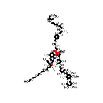 CC#C/C=C\C#C[C@H](OC1OC(C)C(NOC2CC(O)C(SC(=O)c3c(C)c(I)c(OC4OC(C)C(O)C(OC)C4O)c(OC)c3OC)C(C)O2)C(O)C1OC1CC(OC)C(N(CC)C(=O)CNC(=O)OCc2ccc(NC(=O)[C@H](C)NC(=O)[C@@H](NC(=O)CCCn3nnc(CSC)c3CSC)C(C)C)cc2)CO1)C1/C(=C\CSSC(C)(C)CCC(=O)NCCOCCOCCOCCO)[C@@H](O)CC(=O)C1NC(=O)OC